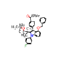 COC(=O)c1ccc(-c2c(C(C)(C)CO[Si](C)(C)C(C)(C)C)n(-c3ccc(F)cc3)c3cccc(OCc4ccccc4)c23)cc1